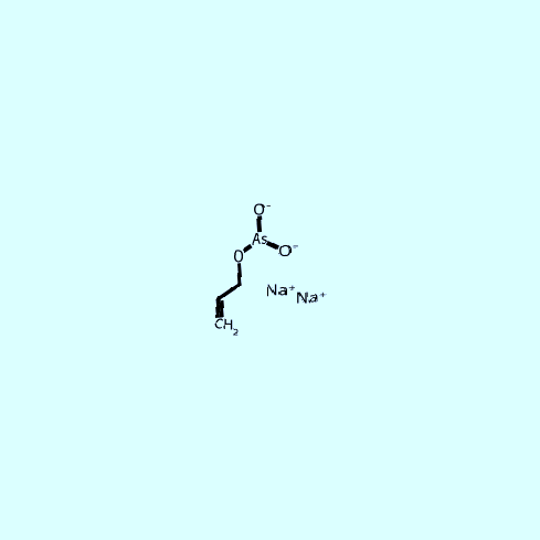 C=CCO[As]([O-])[O-].[Na+].[Na+]